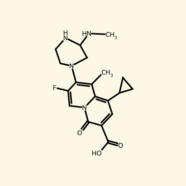 CNC1CN(c2c(F)cn3c(=O)c(C(=O)O)cc(C4CC4)c3c2C)CCN1